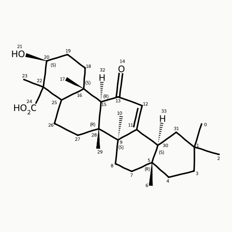 CC1(C)CC[C@]2(C)CC[C@]3(C)C(=CC(=O)[C@@H]4[C@@]5(C)CC[C@H](O)C(C)(C(=O)O)C5CC[C@]43C)[C@H]2C1